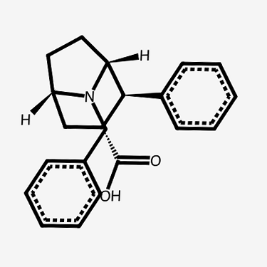 O=C(O)[C@@H]1C[C@@H]2CC[C@H]([C@H]1c1ccccc1)N2Cc1ccccc1